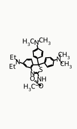 CCN(CC)c1ccc2c(c1)N=C(NS(C)(=O)=O)SC2(c1ccc(N(C)C)cc1)c1ccc(N(C)C)cc1